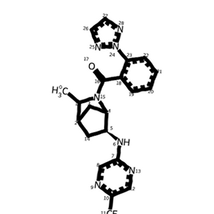 CC1C2CC([C@@H](Nc3cnc(C(F)(F)F)cn3)C2)N1C(=O)c1ccccc1-n1nccn1